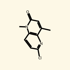 Cc1cc(=O)n(C)c2ccc(Cl)nc12